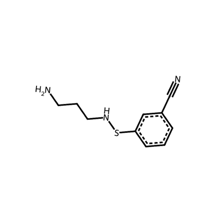 N#Cc1cccc(SNCCCN)c1